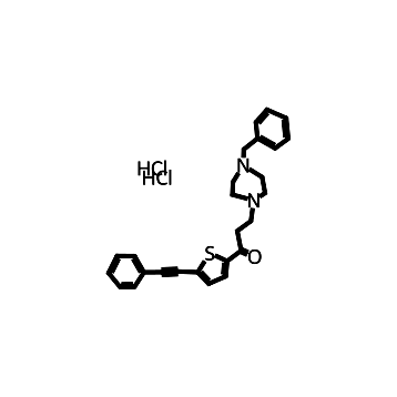 Cl.Cl.O=C(CCN1CCN(Cc2ccccc2)CC1)c1ccc(C#Cc2ccccc2)s1